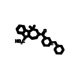 CC1(C)CN(C(=O)N2CCC[C@H](CN3CCCCC3)C2)C=Cc2c1c1ccccc1n2C(=O)O